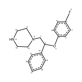 Fc1ccc(OC(CN2CCNCC2)c2ccccc2)cc1